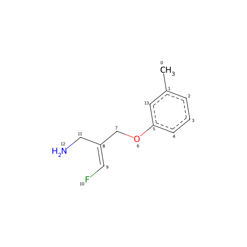 Cc1cccc(OCC(=CF)CN)c1